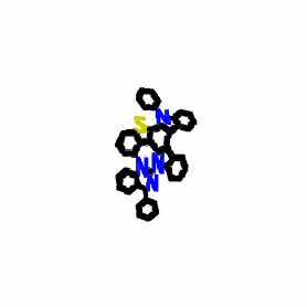 c1ccc(-c2nc(-n3c4ccccc4c4c5c6ccccc6n(-c6ccccc6)c5c5sc6ccccc6c5c43)nc3ccccc23)cc1